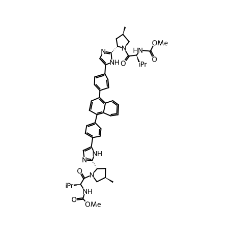 COC(=O)N[C@H](C(=O)N1C[C@H](C)C[C@H]1c1ncc(-c2ccc(-c3ccc(-c4ccc(-c5cnc([C@@H]6C[C@@H](C)CN6C(=O)[C@@H](NC(=O)OC)C(C)C)[nH]5)cc4)c4c3C=C=C=C4)cc2)[nH]1)C(C)C